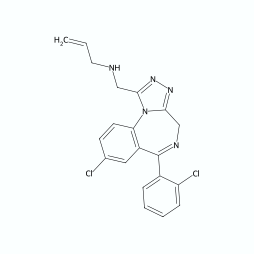 C=CCNCc1nnc2n1-c1ccc(Cl)cc1C(c1ccccc1Cl)=NC2